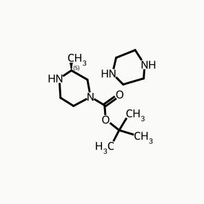 C1CNCCN1.C[C@H]1CN(C(=O)OC(C)(C)C)CCN1